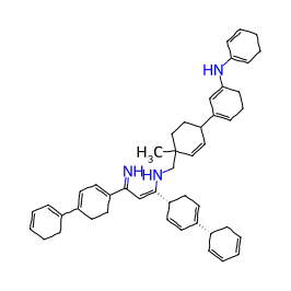 CC1(CN/C(=C\C(=N)C2=CC=C(C3=CC=CCC3)CC2)[C@H]2C=CC([C@H]3C=CC=CC3)=CC2)C=CC(C2=CCCC(NC3=CCCC=C3)=C2)CC1